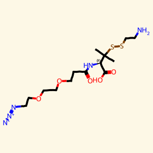 CC(C)(SSCCN)[C@H](NC(=O)CCOCCOCCN=[N+]=[N-])C(=O)O